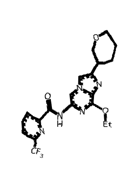 CCOc1nc(NC(=O)c2cccc(C(F)(F)F)n2)cn2cc(C3CCCOC3)nc12